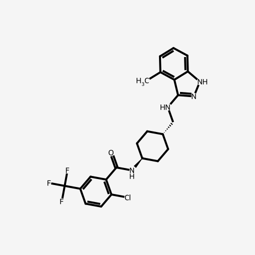 Cc1cccc2[nH]nc(NC[C@H]3CC[C@H](NC(=O)c4cc(C(F)(F)F)ccc4Cl)CC3)c12